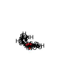 [2H]C1([2H])N(CC2CCN(c3ccc(Nc4cc(Nc5ccccc5C(=O)NC)c(C(F)(F)F)cn4)c(OC)c3)CC2)C([2H])([2H])C([2H])([2H])N(c2cc3c(cc2F)C(=O)N(C2CCC(=O)NC2=O)C3=O)C1([2H])[2H]